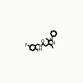 Cc1nn(-c2ccccc2)c(C)c1CC(=O)NCc1cc(F)ccc1F